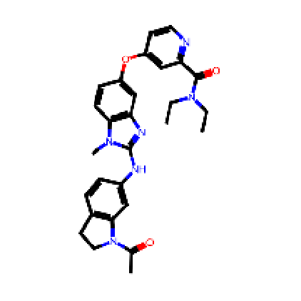 CCN(CC)C(=O)c1cc(Oc2ccc3c(c2)nc(Nc2ccc4c(c2)N(C(C)=O)CC4)n3C)ccn1